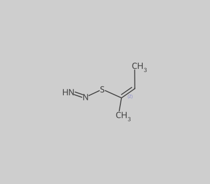 C/C=C(/C)SN=N